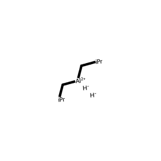 CC(C)[CH2][Al+2][CH2]C(C)C.[H-].[H-]